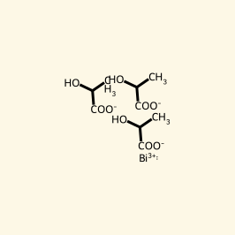 CC(O)C(=O)[O-].CC(O)C(=O)[O-].CC(O)C(=O)[O-].[Bi+3]